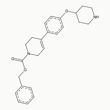 O=C(OCc1ccccc1)N1CC=C(c2ccc(OC3CCNCC3)cc2)CC1